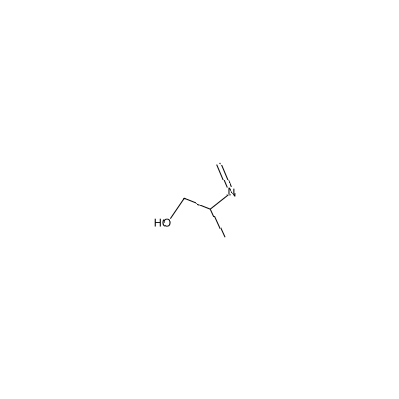 C=NC(C)CO